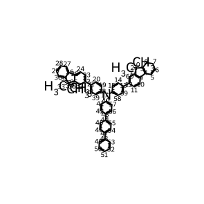 CC1(C)C2=C(C=CCC2)c2ccc(-c3ccc(N(c4ccc(C5=CC=C6c7ccccc7C(C)(C)C6(C)C5)cc4)c4ccc(-c5ccc(-c6ccccc6)cc5)cc4)cc3)cc21